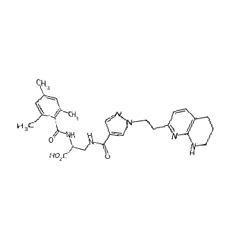 Cc1cc(C)c(C(=O)NC(CNC(=O)c2cnn(CCc3ccc4c(n3)NCCC4)c2)C(=O)O)c(C)c1